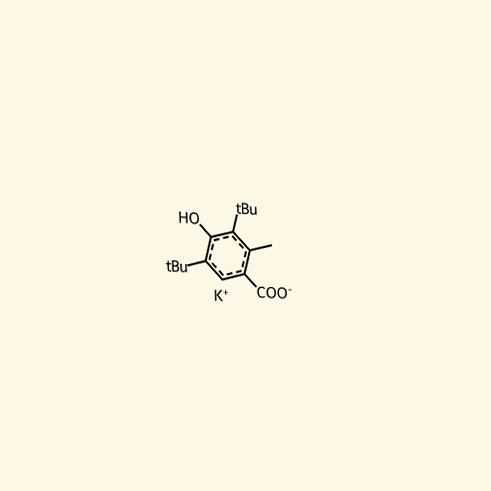 Cc1c(C(=O)[O-])cc(C(C)(C)C)c(O)c1C(C)(C)C.[K+]